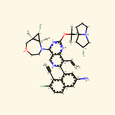 [2H]C([2H])(Oc1nc(N2CCOC[C@H]3[C@H](F)[C@H]32)c2cnc(-c3cc(N)cc4ccc(F)c(C#C)c34)c(C=C)c2n1)[C@@]12CCCN1C[C@H](F)C2